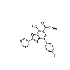 COC(=O)c1nc(-c2ccc(F)cc2)c2nc(-c3ccccc3)oc2c1O